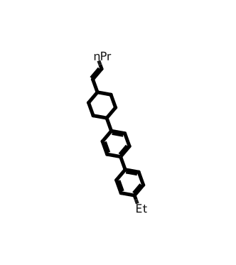 CCCC=CC1CCC(c2ccc(-c3ccc(CC)cc3)cc2)CC1